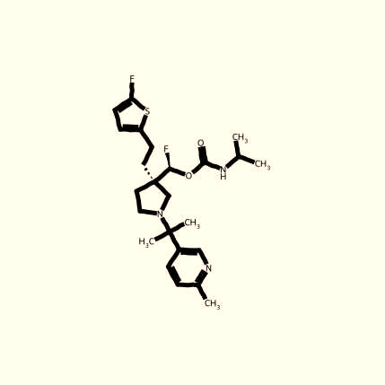 Cc1ccc(C(C)(C)N2CC[C@@](CCc3ccc(F)s3)([C@@H](F)OC(=O)NC(C)C)C2)cn1